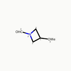 COC1CN(C=O)C1